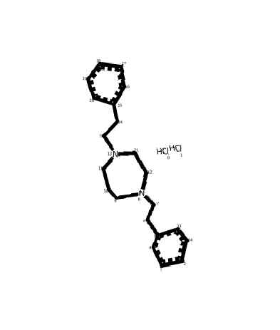 Cl.Cl.c1ccc(CCN2CCCN(CCc3ccccc3)CC2)cc1